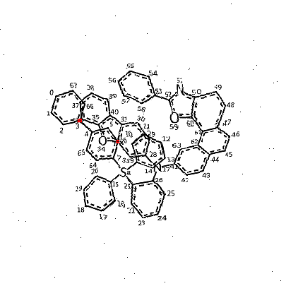 c1ccc(-c2ccc(S(c3ccccc3)(c3ccccc3)c3ccccc3N(c3ccc4c(c3)oc3ccccc34)c3ccc4ccc5ccc6nc(-c7ccccc7)oc6c5c4c3)cc2)cc1